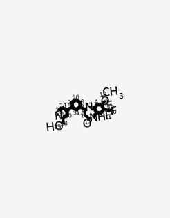 CCOc1cc2c(cc1C(F)(F)F)NC(=O)CC(c1cccc(-c3ccnc(CO)c3)c1)=N2